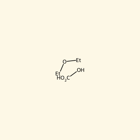 CCOCC.O=C(O)O